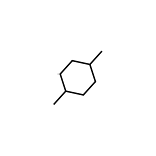 CC1[CH]CC(C)CC1